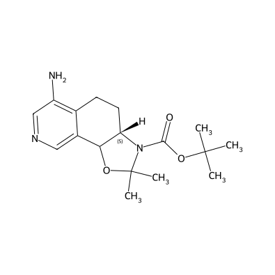 CC(C)(C)OC(=O)N1[C@H]2CCc3c(N)cncc3C2OC1(C)C